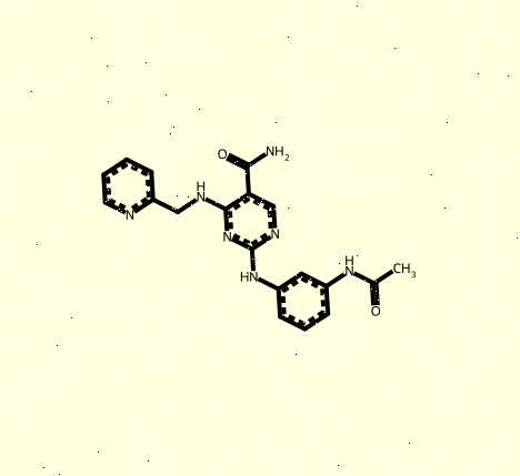 CC(=O)Nc1cccc(Nc2ncc(C(N)=O)c(NCc3ccccn3)n2)c1